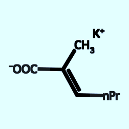 CCCC=C(C)C(=O)[O-].[K+]